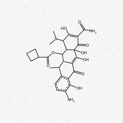 CC1c2ccc(N)c(O)c2C(=O)C2=C(O)C3(O)C(=O)C(C(N)=O)=C(O)C(N(C)C)C3C(OC(=O)C3CCC3)C21